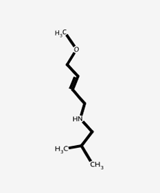 COC/C=C/CNCC(C)C